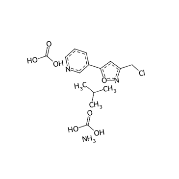 CC(C)C.ClCc1cc(-c2cccnc2)on1.N.O=C(O)O.O=C(O)O